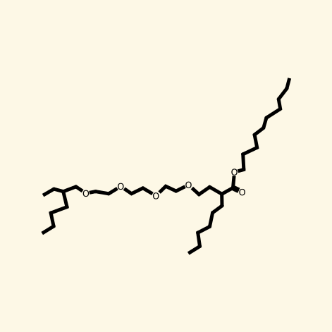 CCCCCCCCCCOC(=O)C(CCCCCC)CCOCCOCCOCCOCC(CC)CCCC